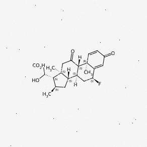 C[C@@H]1C[C@H]2[C@@H]3C[C@H](F)C4=CC(=O)C=C[C@]4(C)[C@H]3C(=O)C[C@]2(C)[C@H]1C(O)C(=O)O